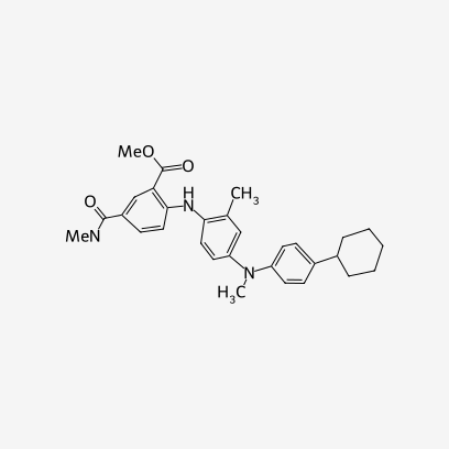 CNC(=O)c1ccc(Nc2ccc(N(C)c3ccc(C4CCCCC4)cc3)cc2C)c(C(=O)OC)c1